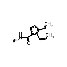 C=Cc1scc(C(=O)NC(C)C)c1/C=C\C